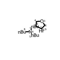 C1CCOC1.CCCCN(CCCC)CCCC.F